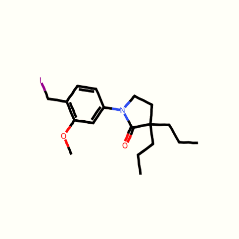 CCCC1(CCC)CCN(c2ccc(CI)c(OC)c2)C1=O